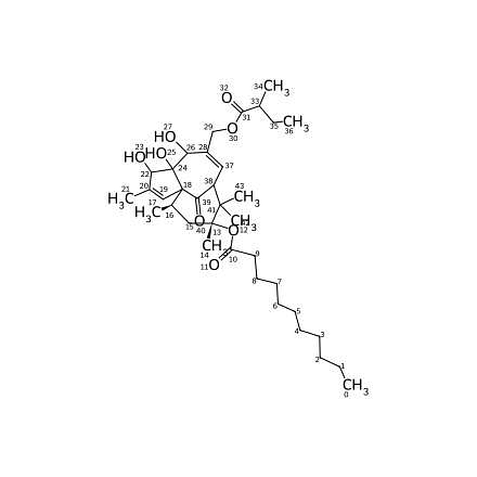 CCCCCCCCCCC(=O)O[C@]1(C)C[C@@H](C)C23C=C(C)C(O)C2(O)C(O)C(COC(=O)C(C)CC)=CC(C3=O)C1(C)C